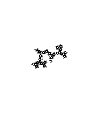 CCC(C)c1ccc(N(c2ccc(-c3ccc(N(c4ccc(-c5ccccc5-c5ccccc5)cc4)c4ccc(-c5ccccc5-c5ccccc5)cc4)cc3)cc2)c2ccc(-c3cccc(-c4ccc(N(c5ccc(-c6ccc(N(c7ccc(-c8ccccc8-c8ccccc8)cc7)c7ccc(-c8ccccc8-c8ccccc8)cc7)cc6)cc5)c5ccc(C(C)CC)cc5)cc4)c3)cc2)cc1